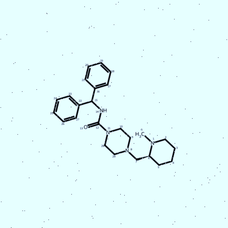 CN1CCCC[C@H]1CN1CCN(C(=O)NC(c2ccccc2)c2ccccc2)CC1